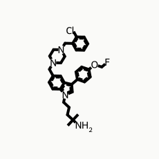 CC(C)(N)CCCn1cc(-c2ccc(OCF)cc2)c2cc(CN3CCN(Cc4ccccc4Cl)CC3)ccc21